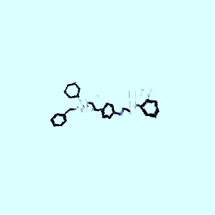 Nc1ccccc1NC(=O)/C=C/c1ccc(CC(=O)N(NCc2ccccc2)C2CCCCC2)cc1